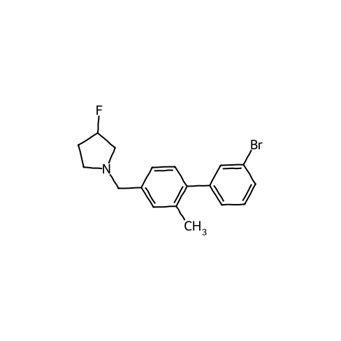 Cc1cc(CN2CCC(F)C2)ccc1-c1cccc(Br)c1